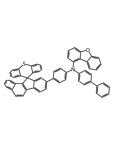 c1ccc(-c2ccc(N(c3ccc(-c4ccc5c(c4)C4(c6ccccc6Sc6ccccc64)c4c-5ccc5ccccc45)cc3)c3cccc4oc5ccccc5c34)cc2)cc1